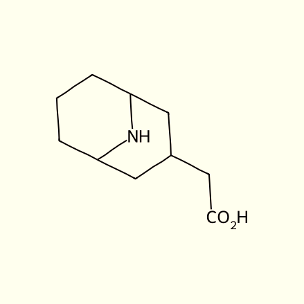 O=C(O)CC1CC2CCCC(C1)N2